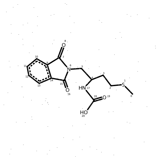 CSCCC(CN1C(=O)c2ccccc2C1=O)NC(=O)O